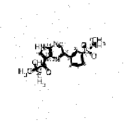 CNS(=O)(=O)c1cccc(-c2cnc3[nH]cc(C(=O)C(C)(C)C)c3n2)c1